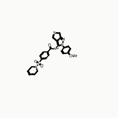 COc1ccc(-n2nc3c(c2NC(=O)c2ccc(S(=O)(=O)N4CCCCC4)cc2)CSC3)cc1